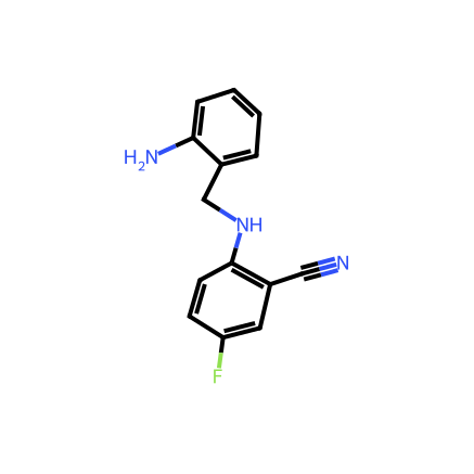 N#Cc1cc(F)ccc1NCc1ccccc1N